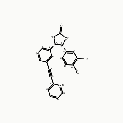 O=C1N[C@H](c2cncc(C#Cc3ccccn3)c2)[C@@H](c2ccc(F)c(F)c2)O1